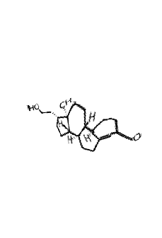 C[C@]12CC[C@H]3[C@@H](CCC4=CC(=O)CC[C@@H]43)[C@@H]1CC[C@@H]2CCO